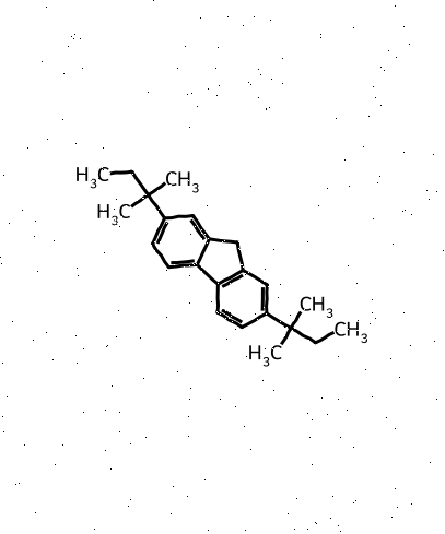 CCC(C)(C)c1ccc2c(c1)Cc1cc(C(C)(C)CC)ccc1-2